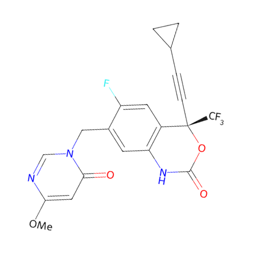 COc1cc(=O)n(Cc2cc3c(cc2F)[C@@](C#CC2CC2)(C(F)(F)F)OC(=O)N3)cn1